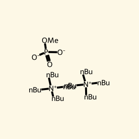 CCCC[N+](CCCC)(CCCC)CCCC.CCCC[N+](CCCC)(CCCC)CCCC.COP(=O)([O-])[O-]